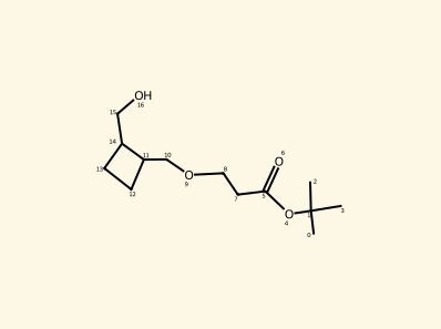 CC(C)(C)OC(=O)CCOCC1CCC1CO